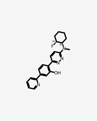 CN(c1ccc(-c2ccc(-c3ccccn3)cc2O)nn1)[C@@H]1CCCC[C@@H]1F